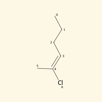 CCC/C=C(\C)Cl